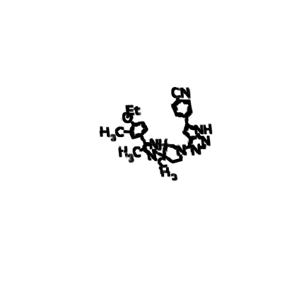 CCOc1ccc(-c2[nH]c(C3(C)CCN(c4ncnc5[nH]c(-c6ccc(C#N)cc6)cc45)CC3)nc2C)cc1C